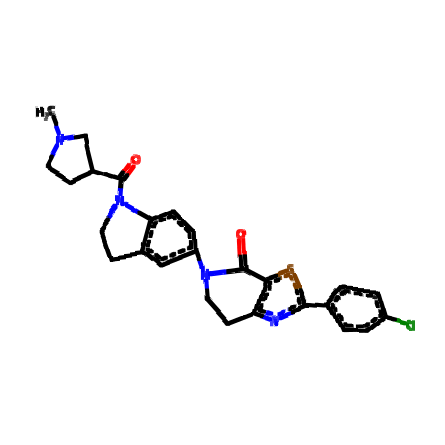 CN1CCC(C(=O)N2CCc3cc(N4CCc5nc(-c6ccc(Cl)cc6)sc5C4=O)ccc32)C1